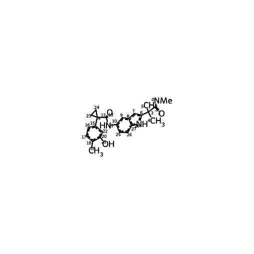 CNC(=O)C(C)(C)c1cc2cc(NC(=O)C3(c4ccc(C)c(O)c4)CC3)ccc2[nH]1